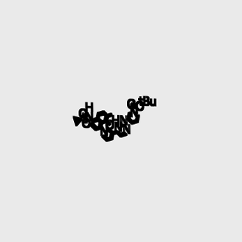 Cc1ccc2c(NS(=O)(=O)C3CC3)cccc2c1Oc1ncccc1-c1ccnc(N[C@H]2CCCN(C(=O)OC(C)(C)C)C2)n1